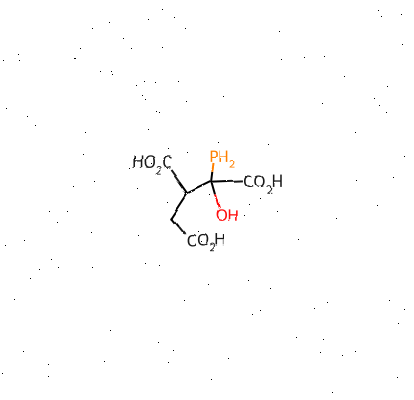 O=C(O)CC(C(=O)O)C(O)(P)C(=O)O